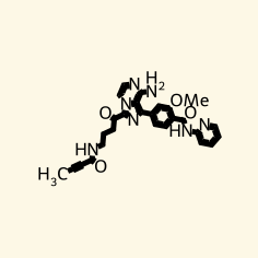 CC#CC(=O)NCCCC(=O)c1nc(-c2ccc(C(=O)Nc3ccccn3)c(OC)c2)c2c(N)nccn12